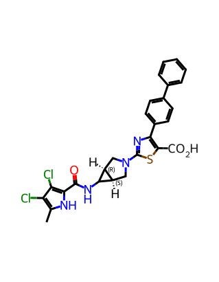 Cc1[nH]c(C(=O)NC2[C@H]3CN(c4nc(-c5ccc(-c6ccccc6)cc5)c(C(=O)O)s4)C[C@@H]23)c(Cl)c1Cl